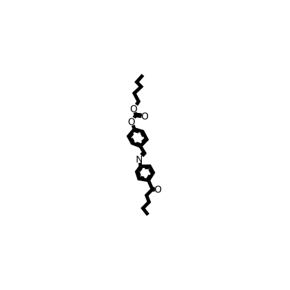 CCCCCOC(=O)Oc1ccc(/C=N/c2ccc(C(=O)CCCC)cc2)cc1